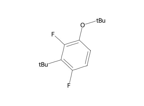 CC(C)(C)Oc1ccc(F)c(C(C)(C)C)c1F